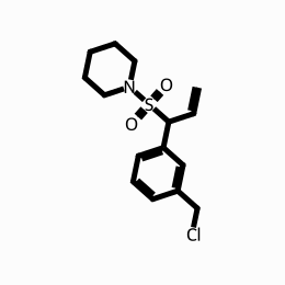 C=CC(c1cccc(CCl)c1)S(=O)(=O)N1CCCCC1